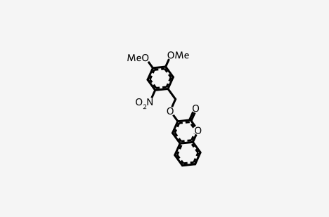 COc1cc(COc2cc3ccccc3oc2=O)c([N+](=O)[O-])cc1OC